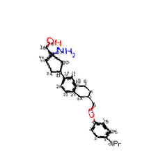 CC(C)c1ccc(OCC2CCc3cc([C@H]4CC[C@](N)(CO)C4)ccc3C2)cc1